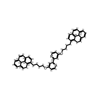 C1=CC2=CCc3c(CCCCOc4ccnc(-c5cc(OCCCCc6ccc7c8c6CC=C6C=CC=C(C=C7)C68)ccn5)c4)ccc4c3C2C(=C1)C=C4